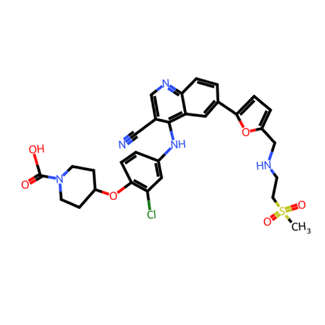 CS(=O)(=O)CCNCc1ccc(-c2ccc3ncc(C#N)c(Nc4ccc(OC5CCN(C(=O)O)CC5)c(Cl)c4)c3c2)o1